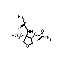 CC(C)(C)OC(=O)N[C@]1(C(=O)O)COC[C@@H]1OS(=O)(=O)C(F)(F)F